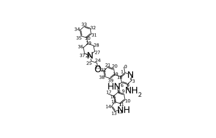 Cc1ncc(N)c(Nc2ccc3[nH]ccc3c2C)c1-c1ccc(OCCN2CCC(c3ccccc3)CC2)cc1